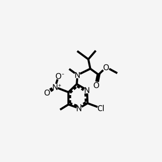 COC(=O)C(C(C)C)N(C)c1nc(Cl)nc(C)c1[N+](=O)[O-]